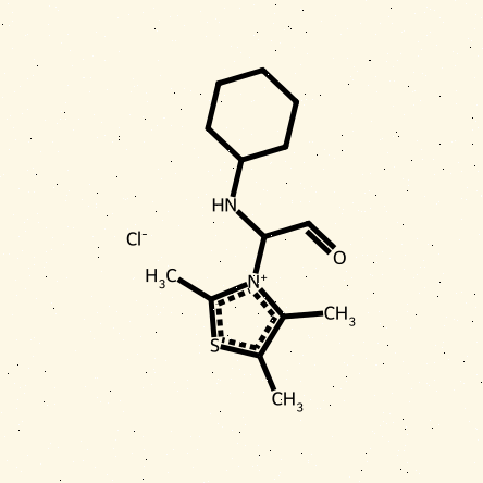 Cc1sc(C)[n+](C(C=O)NC2CCCCC2)c1C.[Cl-]